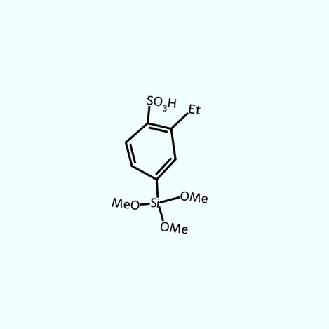 CCc1cc([Si](OC)(OC)OC)ccc1S(=O)(=O)O